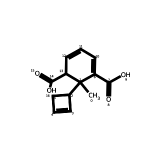 CC1(C2C=CC2)C(C(=O)O)=CC=CC1C(=O)O